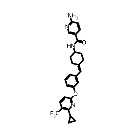 Nc1ccc(C(=O)NC2CCC(=Cc3cccc(Oc4ccc(C(F)(F)F)c(C5CC5)n4)c3)CC2)cn1